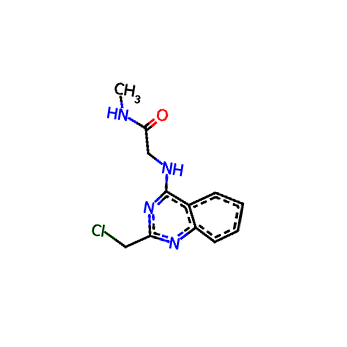 CNC(=O)CNc1nc(CCl)nc2ccccc12